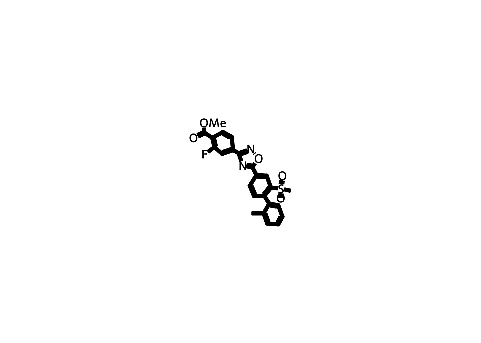 COC(=O)c1ccc(-c2noc(-c3ccc(-c4ccccc4C)c(S(C)(=O)=O)c3)n2)cc1F